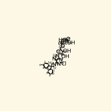 Cc1ccc(C2(c3ccccc3)CN(c3nc(Cl)nc4c3ncn4C3OC(COP(=O)(O)CP(=O)(O)O)C(O)C3O)C2)cc1